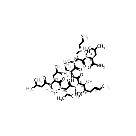 C/C=C/C[C@@H](C)[C@@H](O)[C@@H](C(=O)N[C@@H](CC)C(=O)N(C)[C@H](CSCCN)C(=O)N(C)[C@@H](CC(C)C)C(N)=O)N(C)C(=O)[C@H](C(C)C)N(C)C(=O)[C@H](CC(C)C)N(C)C(=O)CC(C)C